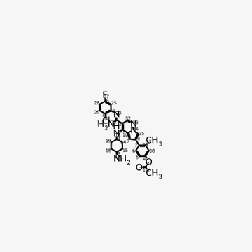 CC(=O)Oc1ccc(-c2cc3c(NC4CCC(N)CC4)c(/C(N)=N/c4cc(F)ccc4Cl)cnn3c2)c(C)c1